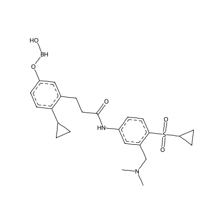 CN(C)Cc1cc(NC(=O)CCc2cc(OBO)ccc2C2CC2)ccc1S(=O)(=O)C1CC1